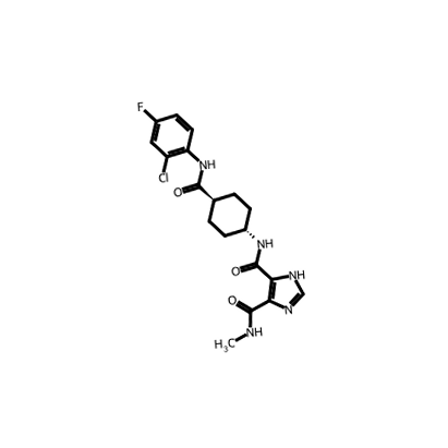 CNC(=O)c1nc[nH]c1C(=O)N[C@H]1CC[C@H](C(=O)Nc2ccc(F)cc2Cl)CC1